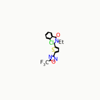 CCN(Cc1ccc(-c2noc(C(F)(F)F)n2)s1)C(=O)c1ccccc1Cl